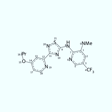 CNc1cc(C(F)(F)F)cnc1Nc1nc(-c2cc(OC(C)C)ccn2)ns1